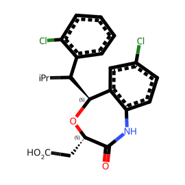 CC(C)C(c1ccccc1Cl)[C@@H]1O[C@@H](CC(=O)O)C(=O)Nc2ccc(Cl)cc21